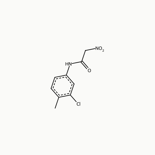 Cc1ccc(NC(=O)C[N+](=O)[O-])cc1Cl